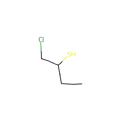 CCC(S)CCl